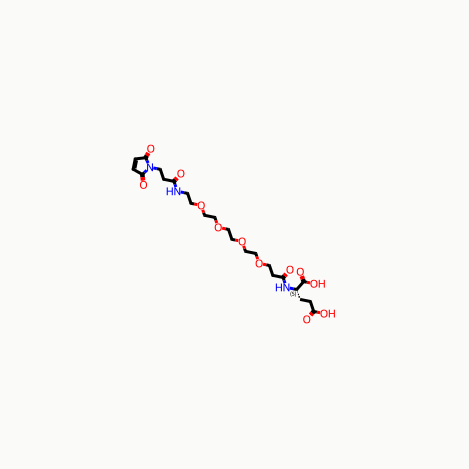 O=C(O)CC[C@H](NC(=O)CCOCCOCCOCCOCCNC(=O)CCN1C(=O)C=CC1=O)C(=O)O